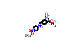 CC(C)(C)OC(=O)N1CCC(n2cc3cc(N)c(C(C)(C)O)cc3n2)CC1